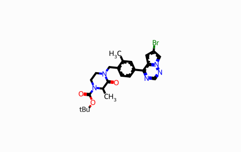 Cc1cc(-c2ncnn3cc(Br)cc23)ccc1CN1CCN(C(=O)OC(C)(C)C)C(C)C1=O